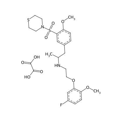 COc1ccc(F)cc1OCCNC(C)Cc1ccc(OC)c(S(=O)(=O)N2CCSCC2)c1.O=C(O)C(=O)O